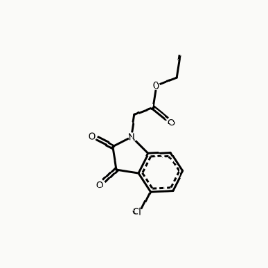 CCOC(=O)CN1C(=O)C(=O)c2c(Cl)cccc21